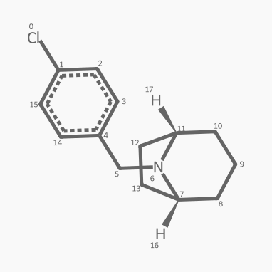 Clc1ccc(CN2[C@@H]3CCC[C@H]2CC3)cc1